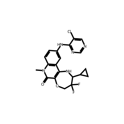 Cn1c(=O)c2c(c3cc(Nc4ncncc4Cl)ccc31)NC(C1CC1)C(F)(F)CO2